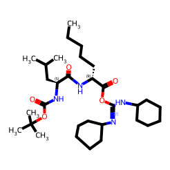 CCCCC[C@@H](NC(=O)[C@H](CC(C)C)NC(=O)OC(C)(C)C)C(=O)O/C(=N\C1CCCCC1)NC1CCCCC1